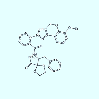 CCOc1cccc2c1OCc1cn(-c3ncccc3C(=O)NC(Cc3ccccc3)C3(C(N)=O)OCCO3)nc1-2